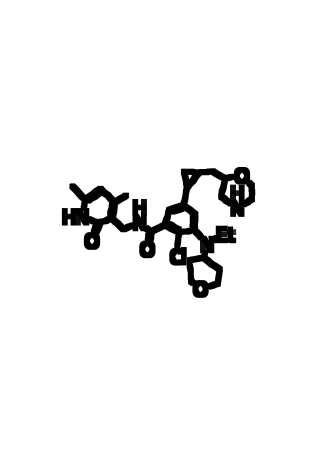 CCN(c1cc(C2CC2CC2CNCCO2)cc(C(=O)NCc2c(C)cc(C)[nH]c2=O)c1Cl)C1CCOCC1